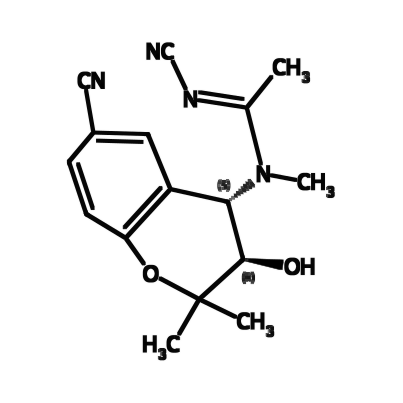 CC(=NC#N)N(C)[C@H]1c2cc(C#N)ccc2OC(C)(C)[C@@H]1O